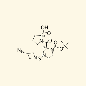 CC(C)(C)OC(=O)N1CCN(SN2CC(C#N)C2)C[C@H]1C(=O)N1CCC[C@@H]1C(=O)O